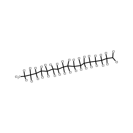 ClC(Cl)C(Cl)(Cl)C(Cl)(Cl)C(Cl)(Cl)C(Cl)(Cl)C(Cl)(Cl)C(Cl)(Cl)C(Cl)(Cl)C(Cl)(Cl)C(Cl)(Cl)C(Cl)(Cl)C(Cl)(Cl)C(Cl)(Cl)C(Cl)(Cl)C(Cl)(Cl)C(Cl)(Cl)C(Cl)(Cl)C(Cl)(Cl)Cl